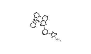 CN(c1ccccn1)c1nc(-c2cncc(-c3nnc(N)o3)c2)nc2cccc(-c3ccccc3)c12